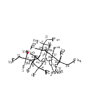 CCCCCCCCC[O][Sn]([C](F)(F)C(F)(F)C(F)(F)CF)([C](F)(F)C(F)(F)C(F)(F)CF)[C](F)(F)C(F)(F)C(F)(F)CF